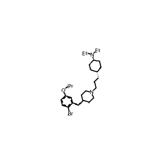 CCN(CC)[C@H]1CC[C@H](CCCN2CCC(Cc3cc(OC(C)C)ccc3Br)CC2)CC1